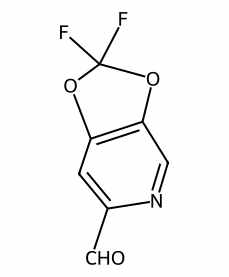 O=Cc1cc2c(cn1)OC(F)(F)O2